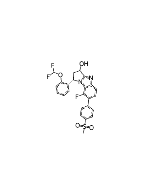 CS(=O)(=O)c1ccc(-c2ccc3nc4n(c3c2F)[C@H](c2ccccc2OC(F)F)CC4O)cc1